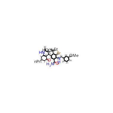 CCCC1CC(=O)C2=C(C1)NC(C)=C(C#N)C2c1cc(C(N)=O)c(NCc2cccc(OC)c2)c(Br)c1C(CC)S(=O)(=O)O